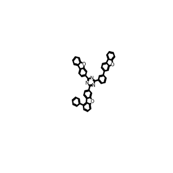 c1ccc(-c2cccc3oc4cc(-c5nc(-c6cccc(-c7ccc8c(c7)oc7ccccc78)c6)nc(-c6ccc7c(c6)oc6ccccc67)n5)ccc4c23)cc1